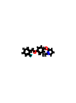 CCN1CCCC1Oc1ccc(OCc2ccccc2F)cc1